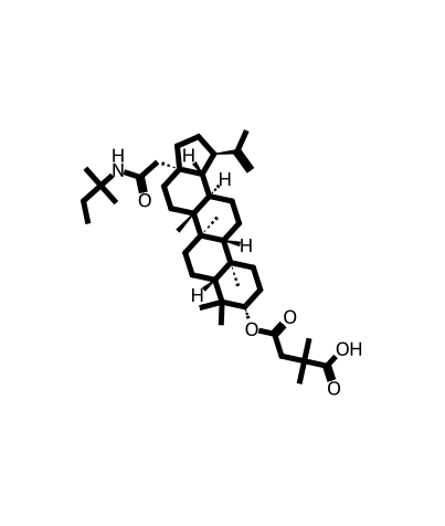 C=C(C)[C@@H]1CC[C@]2(CC(=O)NC(C)(C)CC)CC[C@]3(C)[C@H](CC[C@@H]4[C@@]5(C)CC[C@H](OC(=O)CC(C)(C)C(=O)O)C(C)(C)[C@@H]5CC[C@]43C)[C@@H]12